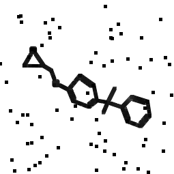 CC(C)(c1ccccc1)c1ccc(OCC2CO2)cc1